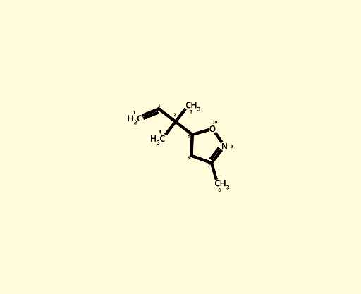 C=CC(C)(C)C1CC(C)=NO1